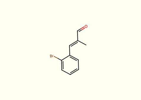 C/C(C=O)=C\c1ccccc1Br